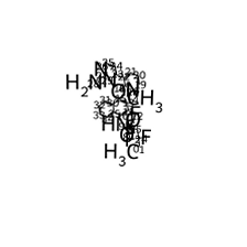 CCC(F)(F)CS(=O)(=O)Nc1c(F)c(C)c(Oc2ncccc2-c2ccnc(N)n2)c2ccccc12